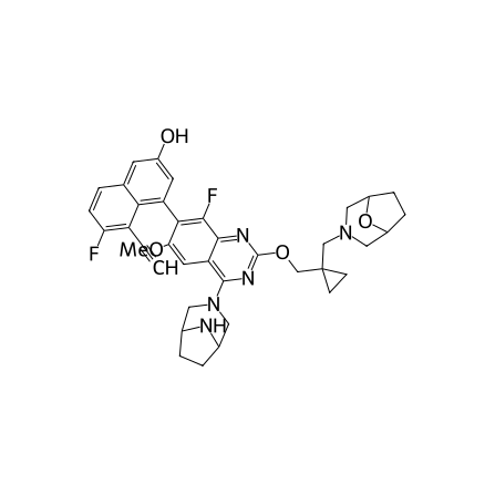 C#Cc1c(F)ccc2cc(O)cc(-c3c(OC)cc4c(N5CC6CCC(C5)N6)nc(OCC5(CN6CC7CCC(C6)O7)CC5)nc4c3F)c12